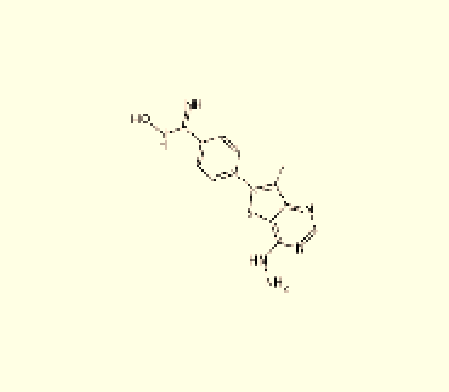 Cc1c(-c2ccc(C(=N)NO)cc2)sc2c(NN)ncnc12